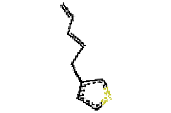 C=CC=CCc1ccsc1